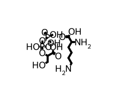 NCCCCC(N)C(=O)O.O=C(O)C(CO)OP(=O)(O)OP(=O)(O)O